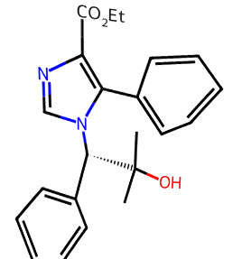 CCOC(=O)c1ncn([C@@H](c2ccccc2)C(C)(C)O)c1-c1ccccc1